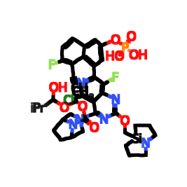 C#Cc1c(F)ccc2cc(OP(=O)(O)O)cc(-c3nc(Cl)c4c(N5CC6CCC(C5)N6C(=O)OC(C)OC(O)C(C)C)nc(OC[Si]56CCCN5CCC6)nc4c3F)c12